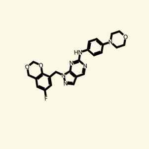 Fc1cc2c(c(Cn3ncc4cnc(Nc5ccc(N6CCOCC6)cc5)nc43)c1)OCOC2